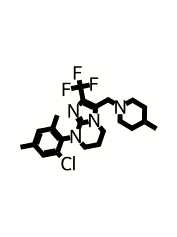 Cc1cc(C)c(N2CCCn3c2nc(C(F)(F)F)c3CN2CCC(C)CC2)c(Cl)c1